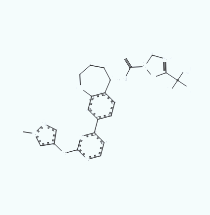 Cn1cc(Nc2nccc(-c3ccc4c(c3)OCCC[C@@H]4NC(=O)N3CN=C(C(C)(C)C)O3)n2)cn1